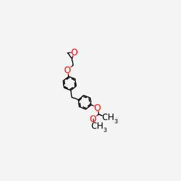 COC(C)Oc1ccc(Cc2ccc(OCC3CO3)cc2)cc1